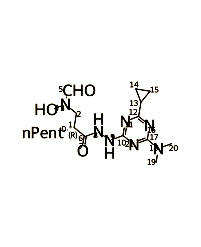 CCCCC[C@H](CN(O)C=O)C(=O)NNc1nc(C2CC2)nc(N(C)C)n1